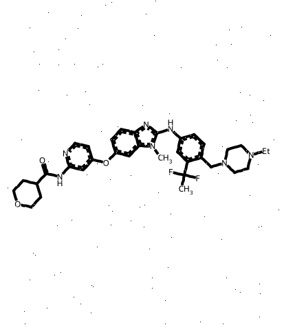 CCN1CCN(Cc2ccc(Nc3nc4ccc(Oc5ccnc(NC(=O)C6CCOCC6)c5)cc4n3C)cc2C(C)(F)F)CC1